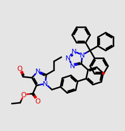 CCCc1nc(C=O)c(C(=O)OCC)n1Cc1ccc(-c2ccccc2-c2nnnn2C(c2ccccc2)(c2ccccc2)c2ccccc2)cc1